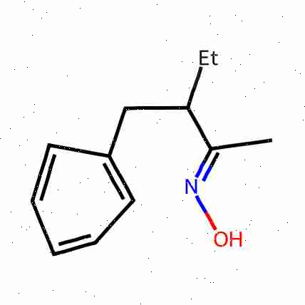 CCC(Cc1ccccc1)C(C)=NO